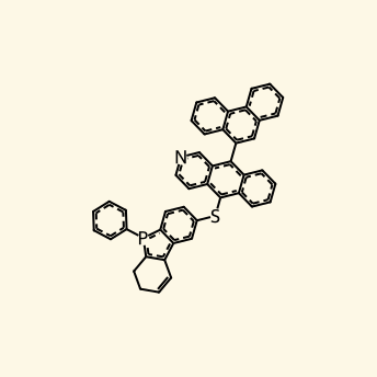 C1=Cc2c(p(-c3ccccc3)c3ccc(Sc4c5ccccc5c(-c5cc6ccccc6c6ccccc56)c5cnccc45)cc23)CC1